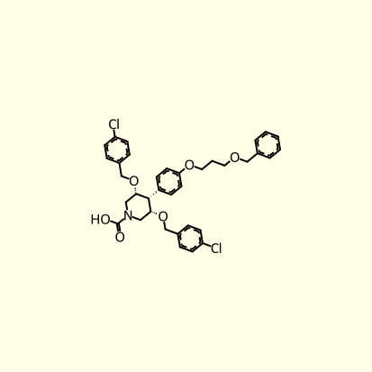 O=C(O)N1C[C@H](OCc2ccc(Cl)cc2)[C@H](c2ccc(OCCCOCc3ccccc3)cc2)[C@H](OCc2ccc(Cl)cc2)C1